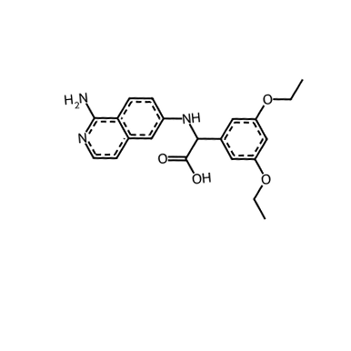 CCOc1cc(OCC)cc(C(Nc2ccc3c(N)nccc3c2)C(=O)O)c1